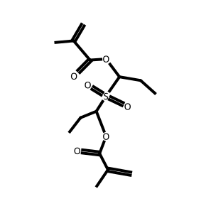 C=C(C)C(=O)OC(CC)S(=O)(=O)C(CC)OC(=O)C(=C)C